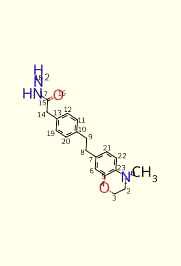 CN1CCOc2cc(CCc3ccc(CC(=O)NN)cc3)ccc21